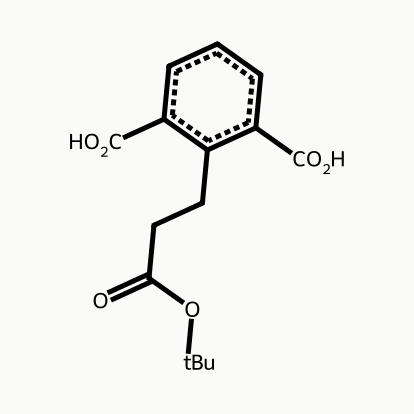 CC(C)(C)OC(=O)CCc1c(C(=O)O)cccc1C(=O)O